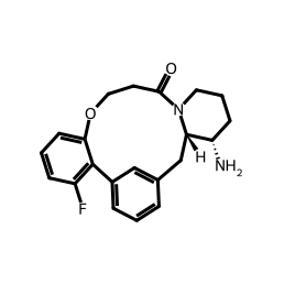 N[C@H]1CCCN2C(=O)CCOc3cccc(F)c3-c3cccc(c3)C[C@@H]12